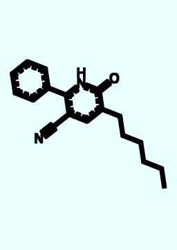 CCCCCCc1cc(C#N)c(-c2ccccc2)[nH]c1=O